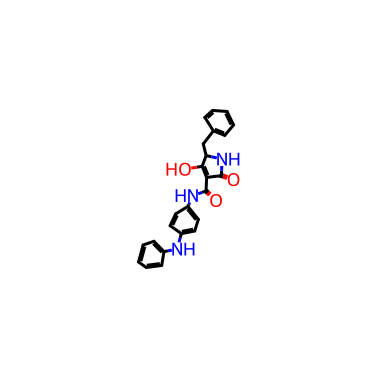 O=C(Nc1ccc(Nc2ccccc2)cc1)C1=C(O)C(Cc2ccccc2)NC1=O